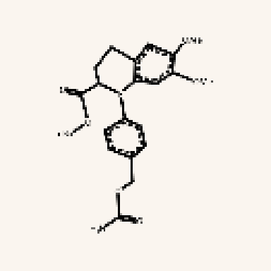 CCCCOC(=O)C1CCc2cc(OC)c(OC)cc2N1c1ccc(COC(N)=O)cc1